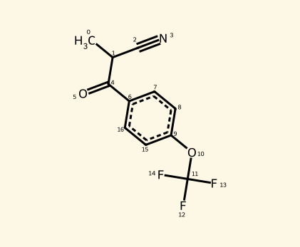 CC(C#N)C(=O)c1ccc(OC(F)(F)F)cc1